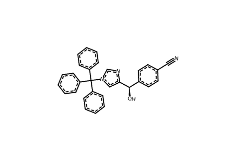 N#Cc1ccc([C@@H](O)c2cn(C(c3ccccc3)(c3ccccc3)c3ccccc3)cn2)cc1